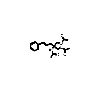 CC(=O)NC(CC=Cc1ccccc1)(COC(C)=O)COC(C)=O